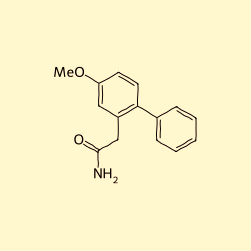 COc1ccc(-c2ccccc2)c(CC(N)=O)c1